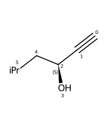 C#C[C@@H](O)CC(C)C